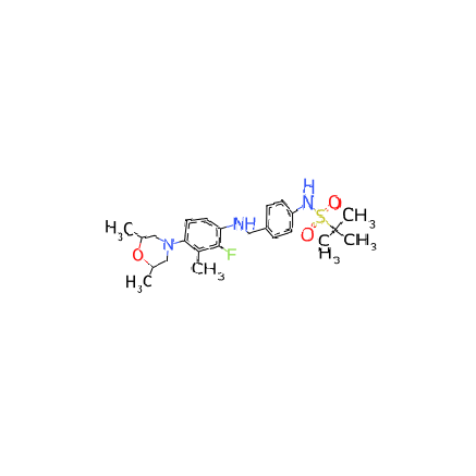 Cc1c(N2CC(C)OC(C)C2)ccc(NCc2ccc(NS(=O)(=O)C(C)(C)C)cc2)c1F